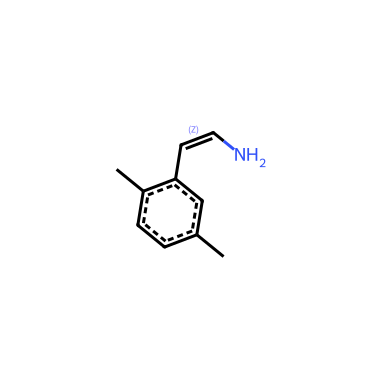 Cc1ccc(C)c(/C=C\N)c1